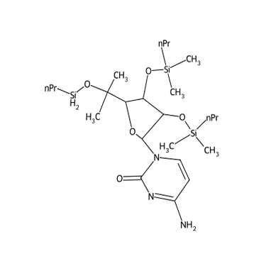 CCC[SiH2]OC(C)(C)C1OC(n2ccc(N)nc2=O)C(O[Si](C)(C)CCC)C1O[Si](C)(C)CCC